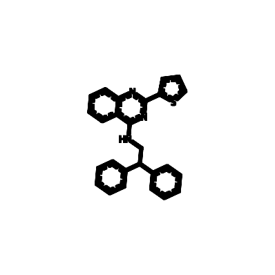 c1ccc(C(CNc2nc(-c3cccs3)nc3ccccc23)c2ccccc2)cc1